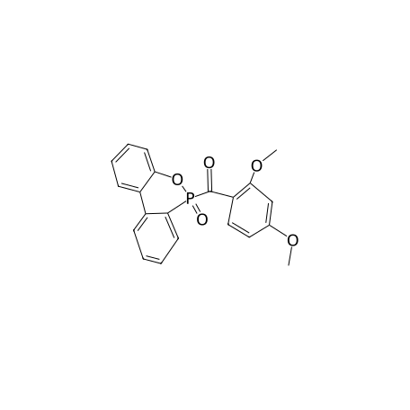 COc1ccc(C(=O)P2(=O)Oc3ccccc3-c3ccccc32)c(OC)c1